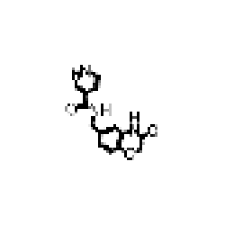 O=C1COc2ccc(CNC(=O)c3ccnnc3)cc2N1